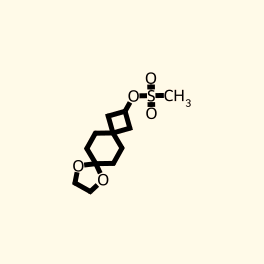 CS(=O)(=O)OC1CC2(CCC3(CC2)OCCO3)C1